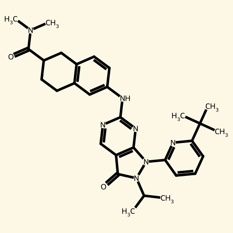 CC(C)n1c(=O)c2cnc(Nc3ccc4c(c3)CCC(C(=O)N(C)C)C4)nc2n1-c1cccc(C(C)(C)C)n1